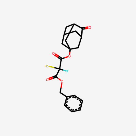 O=C1C2CC3CC1CC(OC(=O)C(F)(S)C(=O)OCc1ccccc1)(C3)C2